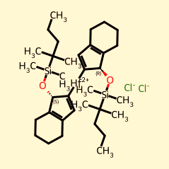 CCCC(C)(C)[Si](C)(C)O[C@@H]1[C]([Hf+2][C]2=CC3=C(CCCC3)[C@H]2O[Si](C)(C)C(C)(C)CCC)=CC2=C1CCCC2.[Cl-].[Cl-]